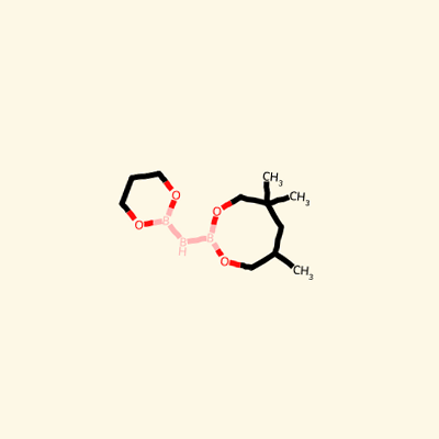 CC1COB(BB2OCCCO2)OCC(C)(C)C1